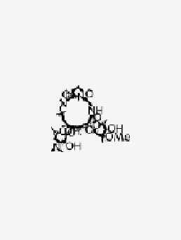 CO[C@]1(C)C[C@H](O[C@H]2[C@H](C)[C@@H](O[C@@H]3O[C@H](C)C[C@H](N(C)C)[C@H]3O)[C@](C)(O)C[C@@H](C)CN(C)C(=O)[C@@H]3CCCN3C(=O)CNC(=O)[C@@H]2C)O[C@@H](C)[C@@H]1O